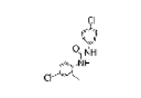 Cc1cc(Cl)ccc1NC(=O)Nc1ccc(Cl)cc1